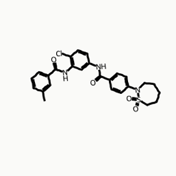 Cc1cccc(C(=O)Nc2cc(NC(=O)c3ccc(N4CCCCCS4(=O)=O)cc3)ccc2Cl)c1